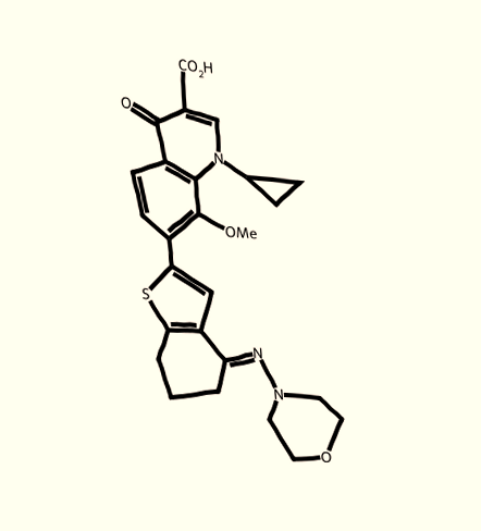 COc1c(-c2cc3c(s2)CCC/C3=N\N2CCOCC2)ccc2c(=O)c(C(=O)O)cn(C3CC3)c12